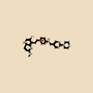 COc1ccc2ncc(F)c(CCC34CCC(NCc5cnc(N6CCOCC6)nc5)(CC3)CO4)c2n1